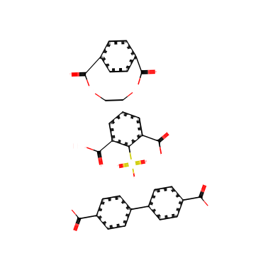 O=C(O)c1ccc(-c2ccc(C(=O)O)cc2)cc1.O=C(O)c1cccc(C(=O)O)c1S(=O)(=O)O.O=C1OCCOC(=O)c2ccc1cc2